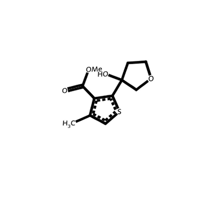 COC(=O)c1c(C)csc1C1(O)CCOC1